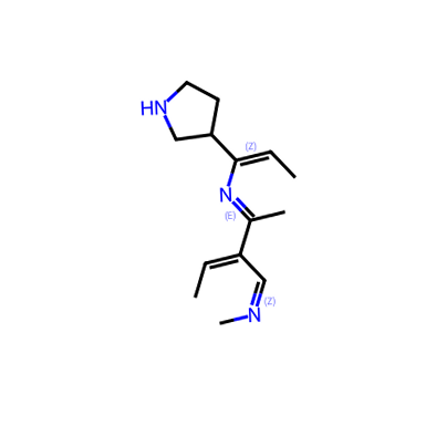 CC=C(/C=N\C)/C(C)=N/C(=C\C)C1CCNC1